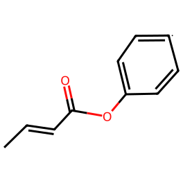 CC=CC(=O)Oc1cc[c]cc1